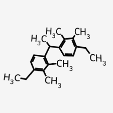 CCc1ccc(C(C)c2ccc(CC)c(C)c2C)c(C)c1C